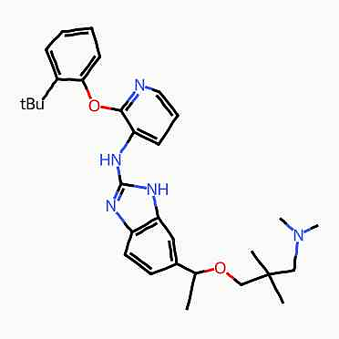 CC(OCC(C)(C)CN(C)C)c1ccc2nc(Nc3cccnc3Oc3ccccc3C(C)(C)C)[nH]c2c1